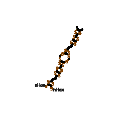 CCCCCCSC1=C(SCCCCCC)SC(=CC=C2SC3=C(S2)SC(=C2SC4=C(SCSC5=C(SCS4)SC(=CC=C4SC6=C(S4)SC(=C4SC(C)=C(C)S4)S6)S5)S2)S3)S1